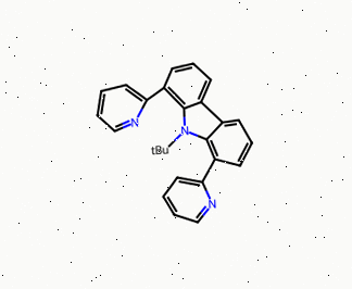 CC(C)(C)n1c2c(-c3ccccn3)cccc2c2cccc(-c3ccccn3)c21